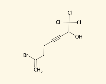 C=C(Br)CCC#CC(O)C(Cl)(Cl)Cl